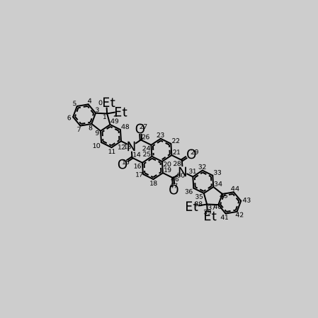 CCC1(CC)c2ccccc2-c2ccc(N3C(=O)c4ccc5c6c(ccc(c46)C3=O)C(=O)N(c3ccc4c(c3)C(CC)(CC)c3ccccc3-4)C5=O)cc21